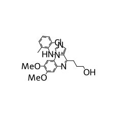 COc1cc2c(cc1OC)[N+]1(Nc3c(C)cccc3Cl)C=NC=C1C(CCCO)=N2